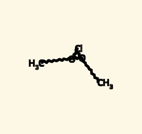 CCCCCCCCCCCCOc1cc(CCl)cc(OCCCCCCCCCCCC)c1